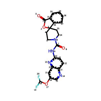 O=C1OC2(CCN(C(=O)Nc3ccc4ncc(OC(F)F)cc4n3)CC2)c2ccccc21